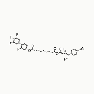 C/C(=C\C=C(/CF)c1ccc(C#N)cc1)OC(=O)CCCCCCCC(=O)Oc1ccc(-c2cc(F)c(F)c(F)c2)c(F)c1